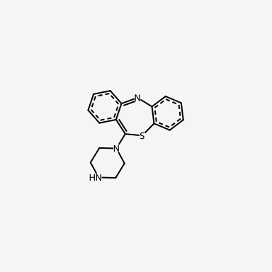 c1ccc2c(c1)N=c1ccccc1=C(N1CCNCC1)S2